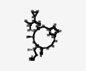 C[C@@H]1CN([C@@H](C)CO)C(=O)CCCn2cc(nn2)CO[C@H]1CN(C)C(=O)C1CC1